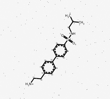 CC(C)CNS(=O)(=O)c1ccc(-c2ccc(CCN)cc2)cc1